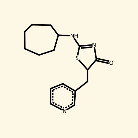 O=C1N=C(NC2CCCCCC2)SC1Cc1cccnc1